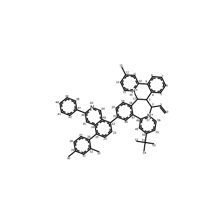 C=CC1C2c3ccccc3-c3cc(C)cc[n+]3C2c2ccc(-c3ccc(-c4ccc(C)cc4C)c4cc(-c5ccccc5)ncc34)cc2-c2cc(C(C)(C)C)cc[n+]21